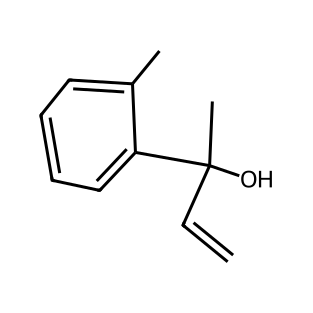 C=CC(C)(O)c1ccccc1C